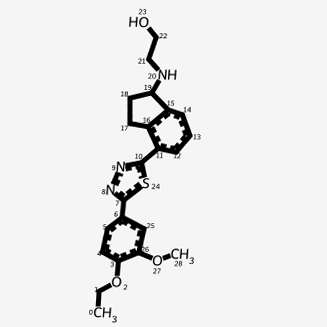 CCOc1ccc(-c2nnc(-c3cccc4c3CCC4NCCO)s2)cc1OC